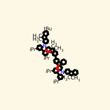 CC(C)c1cc(-c2cc(C(C)C)ccc2N(c2ccc3c(c2)C(C)(C)c2ccccc2-3)c2ccc3c(c2)C2(CCCCC2)c2cc(-c4ccc5c(c4)-c4ccc(N(c6ccc7c(c6)C(C)(C)C6C=C(C(C)(C)C)C=CC76)c6ccc(C(C)C)cc6-c6cc(C(C)C)cc(C(C)C)c6)cc4C5(C)C)ccc2-3)cc(C(C)C)c1